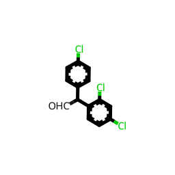 O=CC(c1ccc(Cl)cc1)c1ccc(Cl)cc1Cl